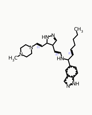 CCCC/C=C/C(N/C=C/C1C=NNC1/C=C/N1CCN(C)CC1)c1ccc2[nH]ncc2c1